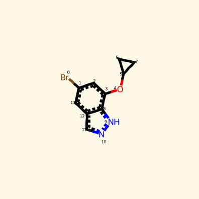 Brc1cc(OC2CC2)c2[nH]ncc2c1